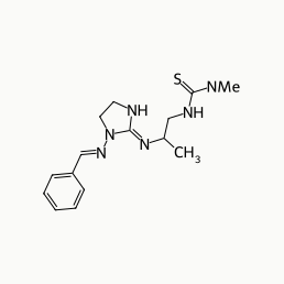 CNC(=S)NCC(C)N=C1NCCN1N=Cc1ccccc1